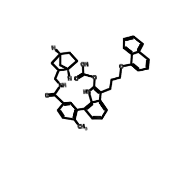 Cc1ccc(C(=O)NCC2C[C@@H]3CC[C@H]2C3)cc1-c1cccc2c(CCCOc3cccc4ccccc34)c(OC(=O)O)[nH]c12